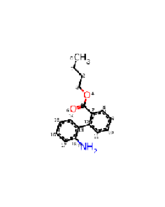 CCCCOC(=O)c1[c]cccc1-c1ccccc1N